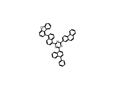 c1ccc(-c2ccc(-c3nc(-c4ccc5c(ccc6ccccc65)c4)nc(-c4cccc5c(-c6cccc7oc8ccccc8c67)cccc45)n3)c3ccccc23)cc1